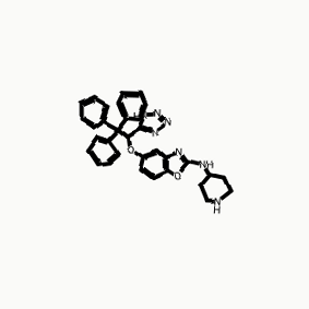 c1ccc(C(c2ccccc2)(c2ccccc2)C(Oc2ccc3oc(NC4CCNCC4)nc3c2)c2nnn[nH]2)cc1